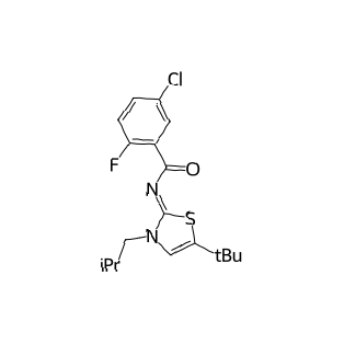 CC(C)Cn1cc(C(C)(C)C)s/c1=N\C(=O)c1cc(Cl)ccc1F